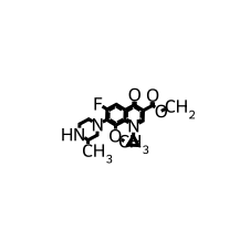 [CH2]OC(=O)c1cn(C2CC2)c2c(OC)c(N3CCNC(C)C3)c(F)cc2c1=O